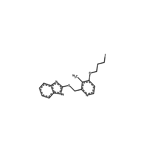 Cc1c(OCCCI)ccnc1CSc1nc2ccccc2[nH]1